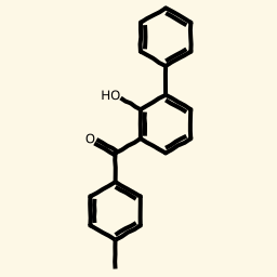 Cc1ccc(C(=O)c2cccc(-c3ccccc3)c2O)cc1